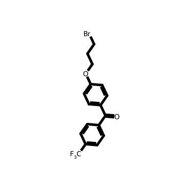 O=C(c1ccc(OCCCBr)cc1)c1ccc(C(F)(F)F)cc1